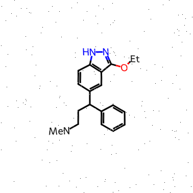 CCOc1n[nH]c2ccc(C(CCNC)c3ccccc3)cc12